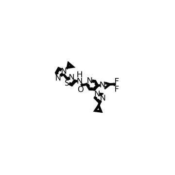 O=C(Nc1csc(-c2nccn2C2CC2)n1)c1cc(-n2cnc(C3CC3)c2)c(N2CC(C(F)F)C2)cn1